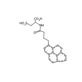 O=C(CCCc1ccc2ccc3cccc4ccc1c2c34)NC(CS(=O)(=O)O)C(=O)O